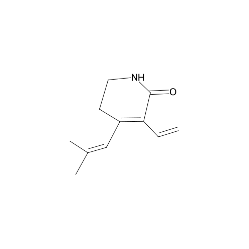 C=CC1=C(C=C(C)C)CCNC1=O